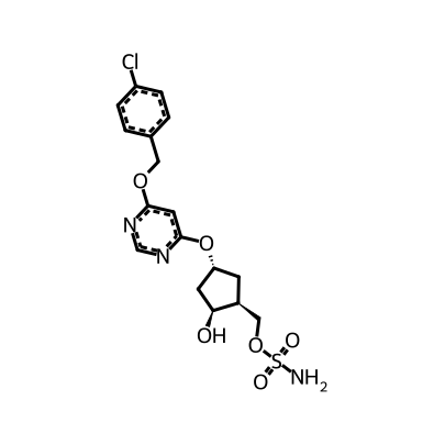 NS(=O)(=O)OC[C@@H]1C[C@@H](Oc2cc(OCc3ccc(Cl)cc3)ncn2)C[C@@H]1O